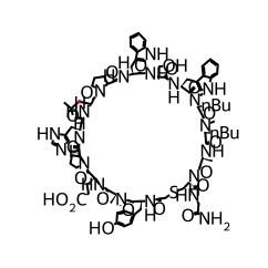 CCCC[C@H]1C(=O)N(C)[C@@H](CCCC)C(=O)N[C@@H](C)C(=O)N[C@H](C(=O)NCC(N)=O)CSCC(=O)N[C@@H](Cc2ccc(O)cc2)C(=O)N(C)[C@@H](C)C(=O)N[C@@H](CCC(=O)O)C(=O)N2CCC[C@H]2C(=O)N[C@@H](Cc2cnc[nH]2)C2(C)N[C@@H](CC(C)O2)C(=O)N2CCC[C@H]2C(=O)N[C@@H](Cc2c[nH]c3ccccc23)C(=O)N[C@@H](CO)C(=O)N[C@@H](Cc2c[nH]c3ccccc23)C(=O)N1C